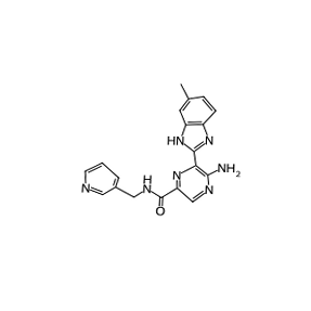 Cc1ccc2nc(-c3nc(C(=O)NCc4cccnc4)cnc3N)[nH]c2c1